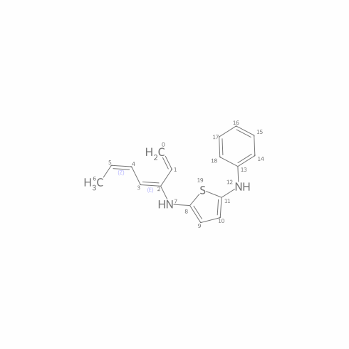 C=C/C(=C\C=C/C)Nc1ccc(Nc2ccccc2)s1